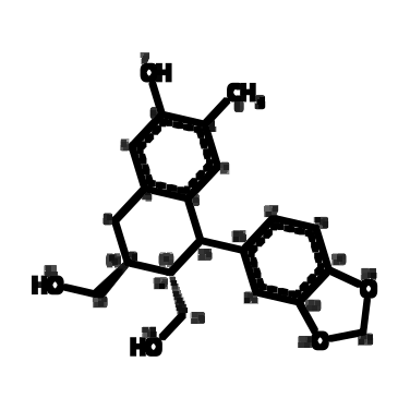 Cc1cc2c(cc1O)C[C@H](CO)[C@@H](CO)C2c1ccc2c(c1)OCO2